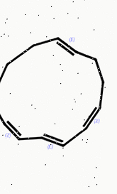 [C]1=C/C=C\CCCC/C=C/CC\C=C/1